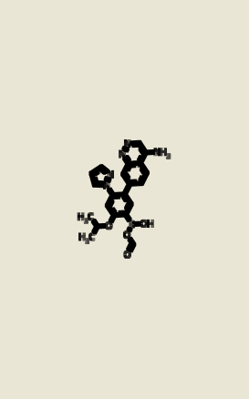 CC(C)Oc1cc(-n2cccn2)c(-c2ccc3c(N)cnnc3c2)cc1B(O)OC=O